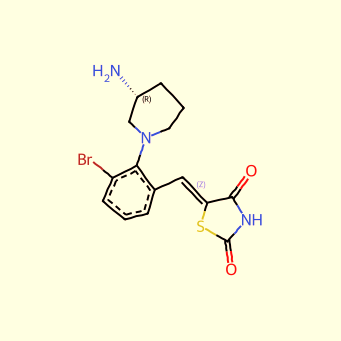 N[C@@H]1CCCN(c2c(Br)cccc2/C=C2\SC(=O)NC2=O)C1